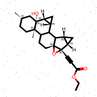 CCOC(=O)C#C[C@@]12O[C@@]13CCC1C(C3[C@@H]3C[C@@H]32)[C@H]2C[C@H]2[C@]2(O)C[C@@H](C)CC[C@]12C